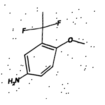 COc1ccc(N)cc1C(C)(F)F